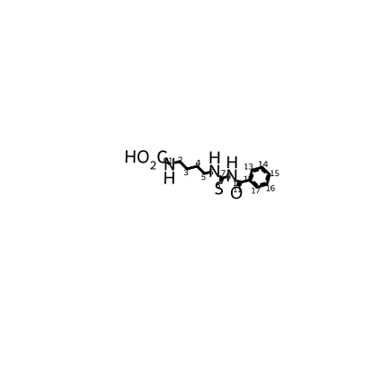 O=C(O)NCCCCNC(=S)NC(=O)c1ccccc1